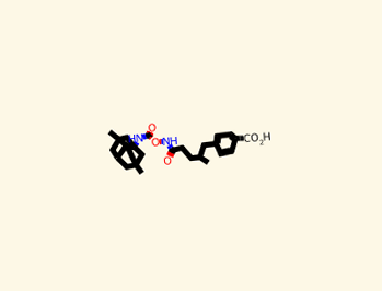 CC(CCC(=O)NOC(=O)NC12CC3CC(C)(CC(C)(C3)C1)C2)Cc1ccc(C(=O)O)cc1